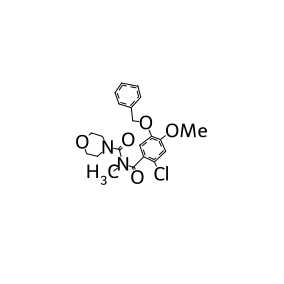 COc1cc(Cl)c(C(=O)N(C)C(=O)N2CCOCC2)cc1OCc1ccccc1